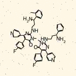 Cc1ccccc1C(N)CCNc1nc(-c2ccncc2)c(-c2ccc(F)cc2)c(=O)n1C.Cn1c(NCC[C@H](N)c2ccccc2)nc(-c2ccncc2)c(-c2ccc(F)cc2)c1=O